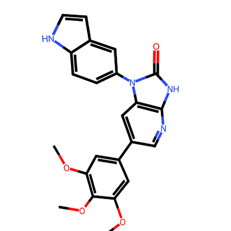 COc1cc(-c2cnc3[nH]c(=O)n(-c4ccc5[nH]ccc5c4)c3c2)cc(OC)c1OC